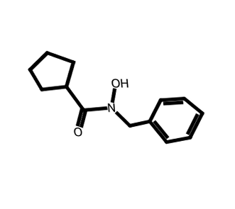 O=C(C1CCCC1)N(O)Cc1ccccc1